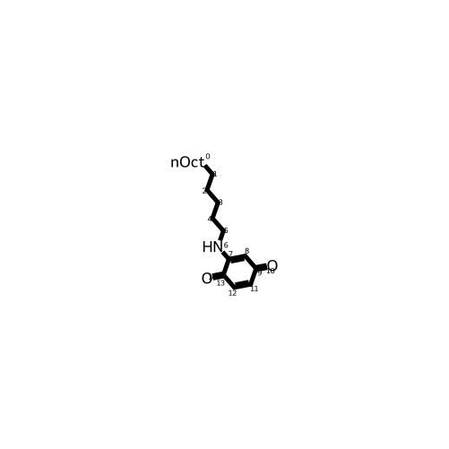 CCCCCCCCCCCCCNC1=CC(=O)C=CC1=O